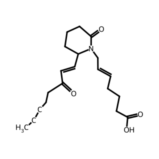 CCCCCC(=O)C=CC1CCCC(=O)N1CC=CCCCC(=O)O